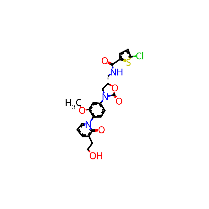 COc1cc(N2C[C@H](CNC(=O)c3ccc(Cl)s3)OC2=O)ccc1-n1cccc(CCO)c1=O